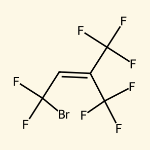 FC(F)(Br)C=C(C(F)(F)F)C(F)(F)F